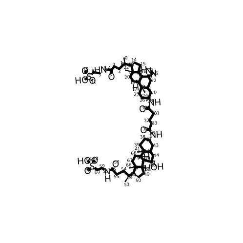 C[C@H](CCC(=O)NCCS(=O)(=O)O)[C@H]1CC[C@H]2C3[C@H](CC[C@]12C)[C@@]1(C)CC[C@@H](NC(=O)CCCC(=O)N[C@H]2CC[C@]4(C)C(C2)C[C@@H](O)C2[C@H]5CC[C@@H]([C@@H](C)CCC(=O)NCCS(=O)(=O)O)[C@]5(C)CC[C@H]24)CC1CC31N=N1